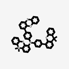 CC1(C)c2ccccc2Sc2c(-c3ccc(N(c4ccc(-c5cccc6c5Oc5ccccc5S6)cc4)c4cccc5c4Sc4ccccc4[Si]5(C)C)cc3)cccc21